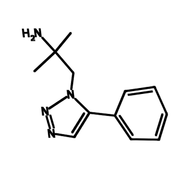 CC(C)(N)Cn1nncc1-c1ccccc1